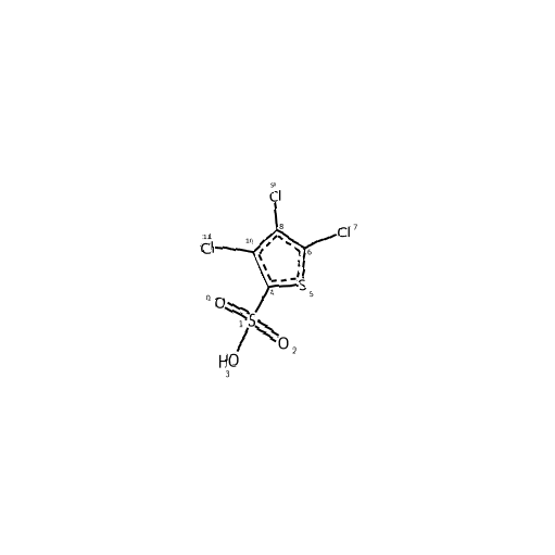 O=S(=O)(O)c1sc(Cl)c(Cl)c1Cl